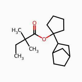 CCC(C)(C)C(=O)OC1(C2CC3CCC2C3)CCCC1